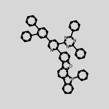 c1ccc(-c2nc(-c3ccccc3)nc(-c3cc(-c4ccc(-c5ccccc5)c(-c5ccccc5)c4)cnc3-c3ccc4oc5c(ccc6c7ccccc7n(-c7ccccc7)c65)c4c3)n2)cc1